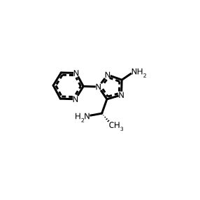 C[C@H](N)c1nc(N)nn1-c1ncccn1